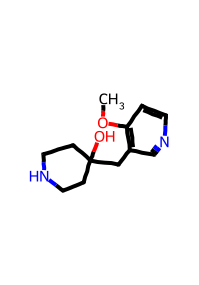 COc1ccncc1CC1(O)CCNCC1